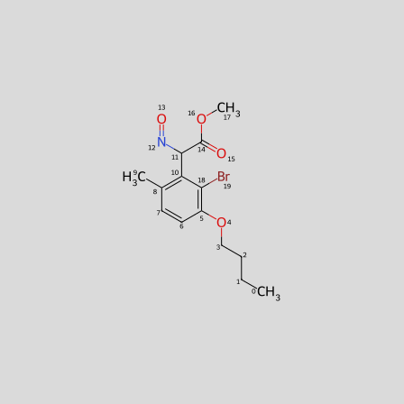 CCCCOc1ccc(C)c(C(N=O)C(=O)OC)c1Br